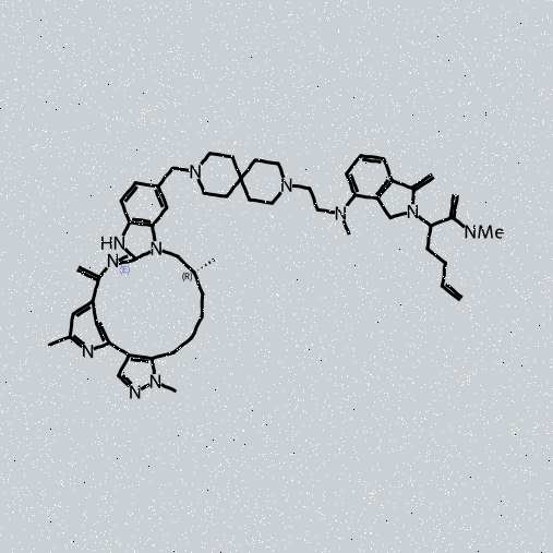 C=CCCC(C(=C)NC)N1Cc2c(cccc2N(C)CCN2CCC3(CC2)CCN(Cc2ccc4c(c2)N2C[C@H](C)CCCCc5c(cnn5C)-c5cc(cc(C)n5)C(=C)/N=C/2N4)CC3)C1=C